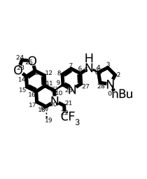 CCCCN1CC[C@H](Nc2ccc([C@@H]3c4cc5c(cc4C[C@@H](C)N3CC(F)(F)F)OCO5)nc2)C1